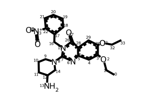 CCOc1cc2nc(N3CCCC(N)C3)n(Cc3ccccc3[N+](=O)[O-])c(=O)c2cc1OCC